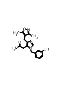 Cc1noc(C)c1Cc1ncn(Cc2cccc(O)c2)c1CC(N)=O